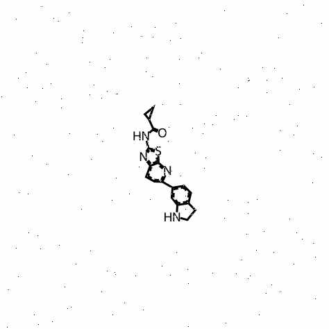 O=C(Nc1nc2ccc(-c3ccc4c(c3)NCC4)nc2s1)C1CC1